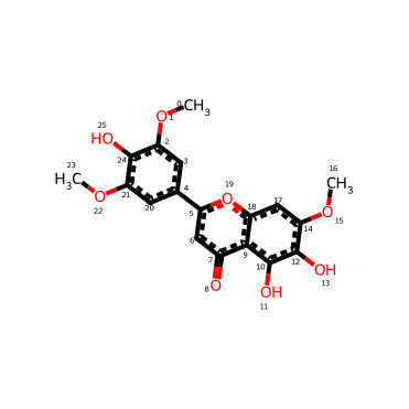 COc1cc(-c2cc(=O)c3c(O)c(O)c(OC)cc3o2)cc(OC)c1O